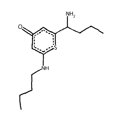 CCCCNc1cc(=O)cc(C(N)CCC)s1